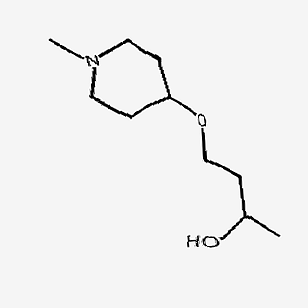 CC(O)CCOC1CCN(C)CC1